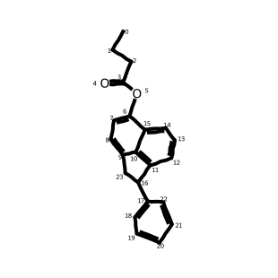 CCCC(=O)Oc1ccc2c3c(cccc13)C(c1ccccc1)C2